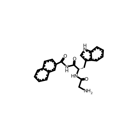 NCC(=O)N[C@@H](Cc1c[nH]c2ccccc12)C(=O)NC(=O)c1ccc2ccccc2c1